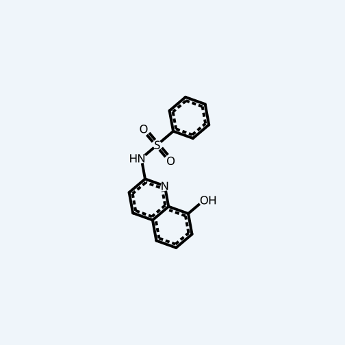 O=S(=O)(Nc1ccc2cccc(O)c2n1)c1ccccc1